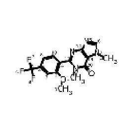 COc1cc(C(F)(F)F)ccc1-c1nc2ncn(C)c2c(=O)n1C